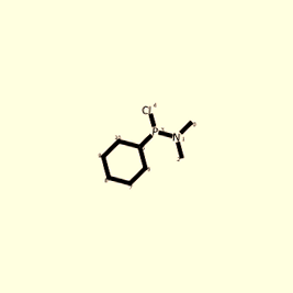 CN(C)P(Cl)C1CCCCC1